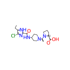 C=C(N1CCC(NC(=O)c2nc(Cl)c(CC)[nH]2)CC1)N1CCC[C@H]1C(=O)O